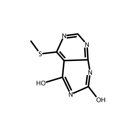 CSc1ncnc2nc(O)nc(O)c12